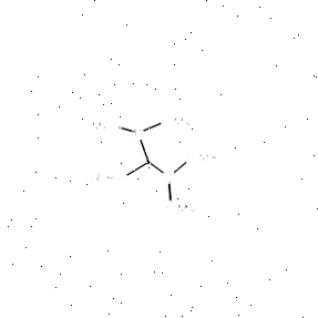 CCCCCC(B(OC)OC)B(OC)OC